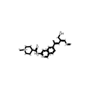 C=N/C=C(\C=C(/C)c1ccc2cnc(NC(=O)C3CCN(C)CC3)cc2c1)CO